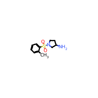 Cc1ccccc1S(=O)(=O)N1CCC(N)C1